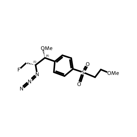 COCCS(=O)(=O)c1ccc([C@@H](OC)[C@@H](CF)N=[N+]=[N-])cc1